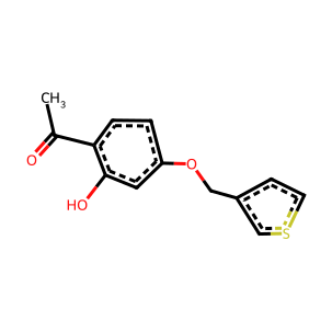 CC(=O)c1ccc(OCc2ccsc2)cc1O